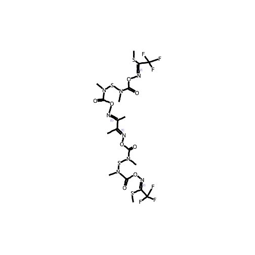 CS/C(=N\OC(=O)N(C)SN(C)C(=O)O/N=C(C)/C(C)=N/OC(=O)N(C)SN(C)C(=O)O/N=C(\SC)C(F)(F)F)C(F)(F)F